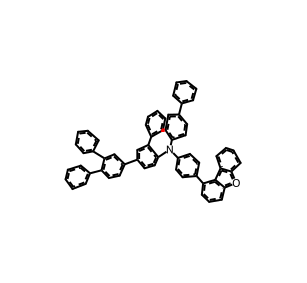 c1ccc(-c2ccc(N(c3ccc(-c4cccc5oc6ccccc6c45)cc3)c3ccc(-c4ccc(-c5ccccc5)c(-c5ccccc5)c4)cc3-c3ccccc3)cc2)cc1